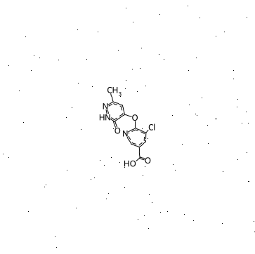 Cc1cc(Oc2ncc(C(=O)O)cc2Cl)c(=O)[nH]n1